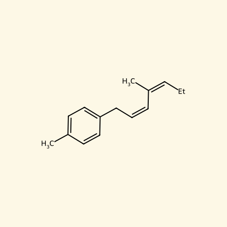 CC/C=C(C)\C=C/Cc1ccc(C)cc1